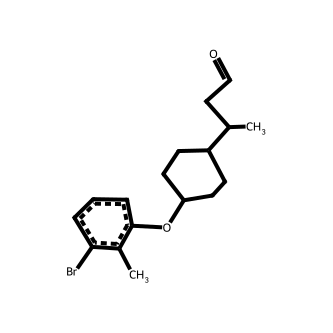 Cc1c(Br)cccc1OC1CCC(C(C)CC=O)CC1